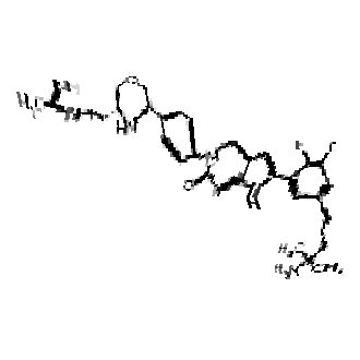 CC(=N)NCC[C@@H]1COC[C@@H](c2ccc(-n3cc4cc(-c5cc(CCCC(C)(C)N)cc(Cl)c5F)[nH]c4nc3=O)cc2)N1